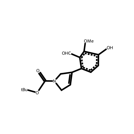 COc1c(O)ccc(C2=CCN(C(=O)OC(C)(C)C)C2)c1C=O